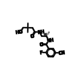 C[C@@H](CNC(=O)CC(C)(C)CO)NC(=O)c1cc(C#N)ccc1F